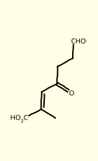 CC(=CC(=O)CC[C]=O)C(=O)O